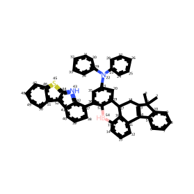 CC1(C)C2=C(c3ccccc31)c1cccc3c1C(C2)c1cc(N(c2ccccc2)c2ccccc2)cc(-c2cccc4c2[nH]c2sc5ccccc5c24)c1B3